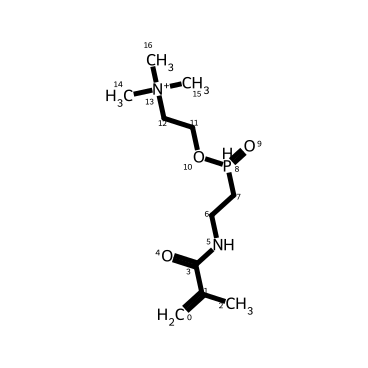 C=C(C)C(=O)NCC[PH](=O)OCC[N+](C)(C)C